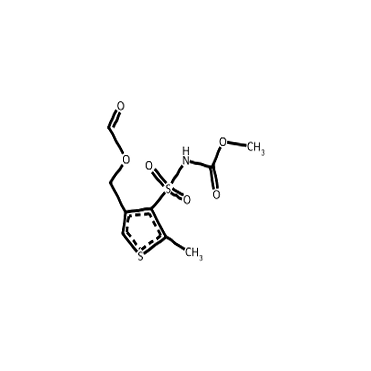 COC(=O)NS(=O)(=O)c1c(COC=O)csc1C